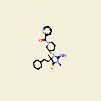 CN1C(=N)N[C@@](CCC2CCCCC2)(C[C@H]2CCCN(C(=O)c3ccccn3)C2)C1=O